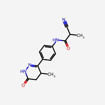 CC(C#N)C(=O)Nc1ccc(C2=NNC(=O)CC2C)cc1